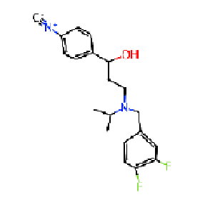 [C-]#[N+]c1ccc(C(O)CCN(Cc2ccc(F)c(F)c2)C(C)C)cc1